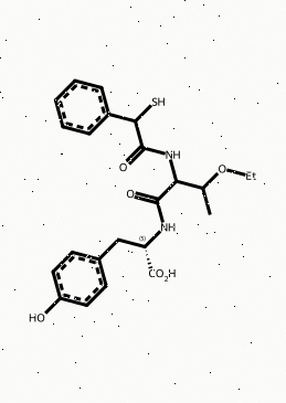 CCOC(C)C(NC(=O)C(S)c1ccccc1)C(=O)N[C@@H](Cc1ccc(O)cc1)C(=O)O